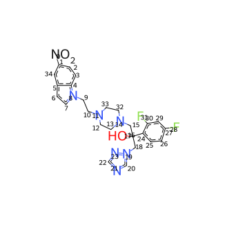 O=[N+]([O-])c1ccc2c(ccn2CCN2CCN(CC(O)(Cn3cncn3)c3ccc(F)cc3F)CC2)c1